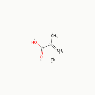 C=C(C)C(=O)O.[Yb]